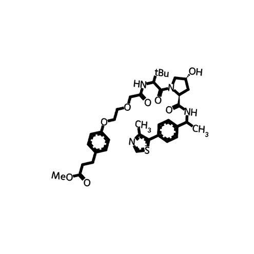 COC(=O)CCc1ccc(OCCOCC(=O)NC(C(=O)N2C[C@H](O)C[C@H]2C(=O)NC(C)c2ccc(-c3scnc3C)cc2)C(C)(C)C)cc1